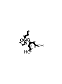 CCC[Si](OC)(OC)OC(CCO)CCO